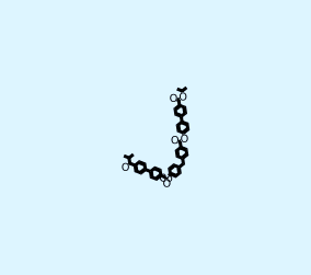 CC(C)OC(=O)c1ccc(-c2ccc(OC(=O)c3ccc(Cc4cc[c]([Co](=[O])[c]5ccc(-c6ccc(C(=O)C(C)C)cc6)cc5)cc4)cc3)cc2)cc1